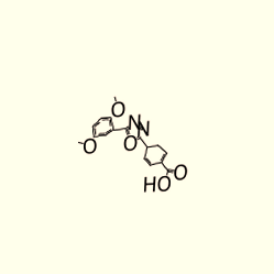 COc1ccc(OC)c(-c2nnc(C3C=CC(C(=O)O)=CC3)o2)c1